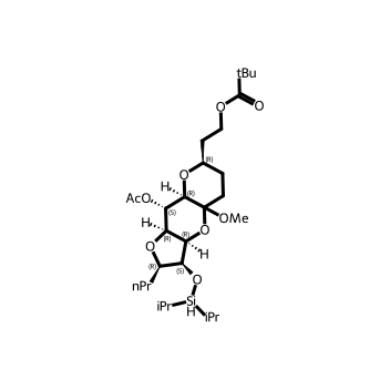 [CH2][CH]C[C@H]1O[C@@H]2[C@@H](OC3(OC)CC[C@H](CCOC(=O)C(C)(C)C)O[C@@H]3[C@H]2OC(C)=O)[C@H]1O[SiH](C(C)C)C(C)C